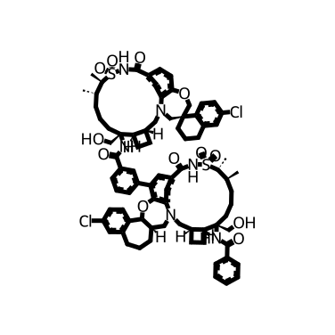 C[C@@H]1[C@@H](C)CCC[C@@](CO)(NC(=O)c2cccc(-c3cc4cc5c3OC3c6ccc(Cl)cc6CCC[C@@H]3CN5C[C@@H]3CC[C@H]3[C@@](CO)(NC(=O)c3ccccc3)CCC[C@H](C)[C@@H](C)S(=O)(=O)NC4=O)c2)[C@@H]2CC[C@H]2CN2C[C@@]3(CCCc4cc(Cl)ccc43)COc3ccc(cc32)C(=O)NS1(=O)=O